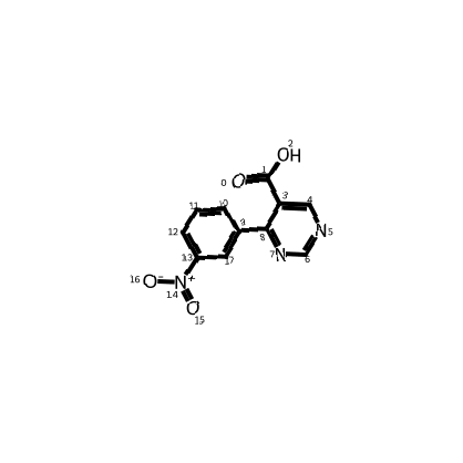 O=C(O)c1cncnc1-c1cccc([N+](=O)[O-])c1